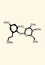 COCCc1cc(C=O)ccc1O[C@@H]1O[C@H](COC(C)=O)[C@H](OC(C)=O)[C@H](OC(C)=O)[C@H]1OC(C)=O